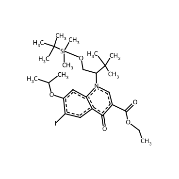 CCOC(=O)c1cn(C(CO[Si](C)(C)C(C)(C)C)C(C)(C)C)c2cc(OC(C)C)c(I)cc2c1=O